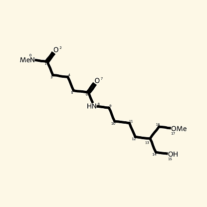 CNC(=O)CCCC(=O)NCCCCC(CO)COC